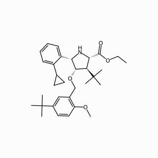 CCOC(=O)[C@H]1N[C@@H](c2ccccc2C2CC2)[C@@H](OCc2cc(C(C)(C)C)ccc2OC)[C@@H]1C(C)(C)C